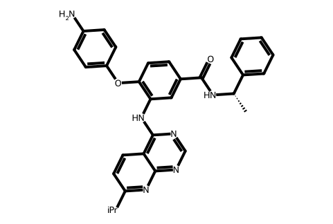 CC(C)c1ccc2c(Nc3cc(C(=O)N[C@@H](C)c4ccccc4)ccc3Oc3ccc(N)cc3)ncnc2n1